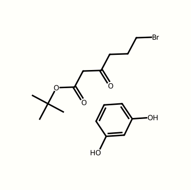 CC(C)(C)OC(=O)CC(=O)CCCBr.Oc1cccc(O)c1